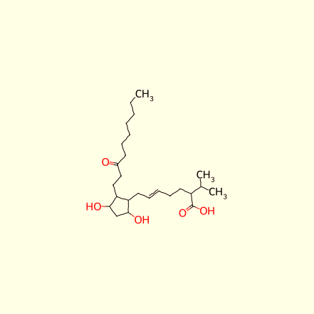 CCCCCCCC(=O)CCC1C(O)CC(O)C1C/C=C/CCC(C(=O)O)C(C)C